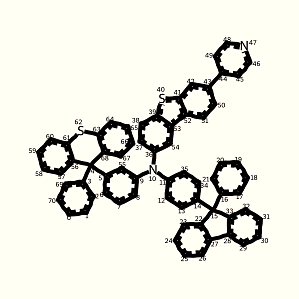 c1ccc(C2(c3cccc(N(c4ccc(C5(c6ccccc6)c6ccccc6-c6ccccc65)cc4)c4ccc5sc6cc(-c7ccncc7)ccc6c5c4)c3)c3ccccc3Sc3ccccc32)cc1